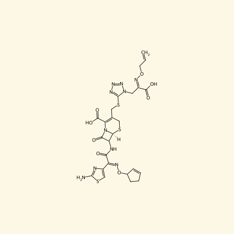 C=CCON=C(Cn1nnnc1SCC1=C(C(=O)O)N2C(=O)C(NC(=O)C(=NOC3C=CCC3)c3csc(N)n3)[C@@H]2SC1)C(=O)O